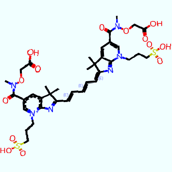 CN(OCC(=O)O)C(=O)C1=CN(CCCS(=O)(=O)O)C2=N/C(=C/C=C/C=C/C3=Nc4c(cc(C(=O)N(C)OCC(=O)O)c[n+]4CCCS(=O)(=O)O)C3(C)C)C(C)(C)C2=C1